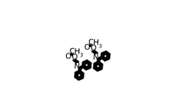 CC(=O)OCCN=C(c1ccccc1)c1ccccc1.CC(=O)OCCN=C(c1ccccc1)c1ccccc1